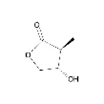 C[C@@H]1C(=O)OC[C@H]1O